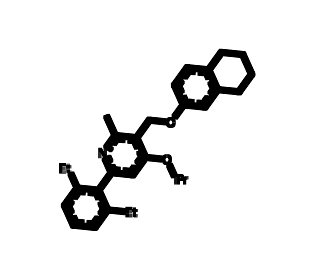 CCc1cccc(CC)c1-c1cc(OC(C)C)c(COc2ccc3c(c2)CCCC3)c(C)n1